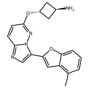 N[C@H]1C[C@H](Oc2ccc3ncc(-c4cc5c(F)cccc5o4)n3n2)C1